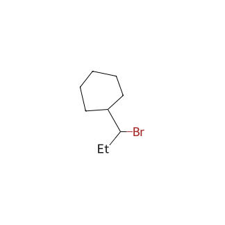 CCC(Br)C1CCCCC1